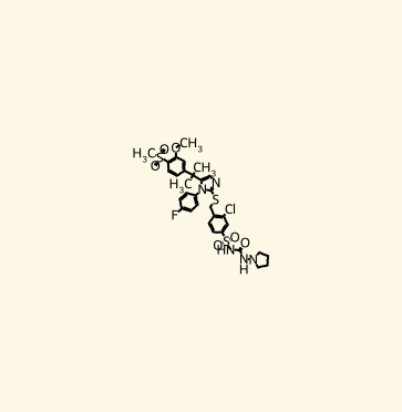 COc1cc(C(C)(C)c2cnc(SCc3ccc(S(=O)(=O)NC(=O)NN4CCCC4)cc3Cl)n2-c2ccc(F)cc2)ccc1S(C)(=O)=O